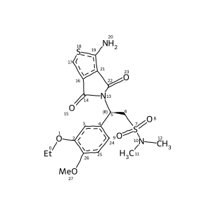 CCOc1cc([C@H](CS(=O)(=O)N(C)C)N2C(=O)c3csc(N)c3C2=O)ccc1OC